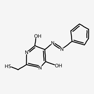 Oc1nc(CS)nc(O)c1/N=N/c1ccccc1